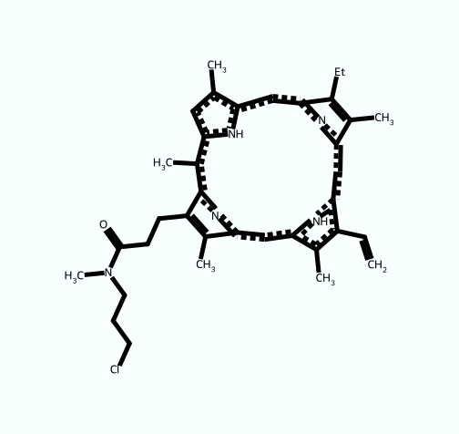 C=Cc1c(C)c2cc3nc(c(C)c4cc(C)c(cc5nc(cc1[nH]2)C(C)=C5CC)[nH]4)C(CCC(=O)N(C)CCCCl)=C3C